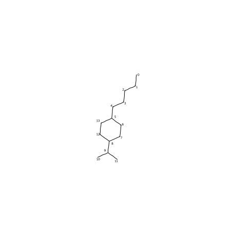 CCCCCC1CCC(C(C)C)CC1